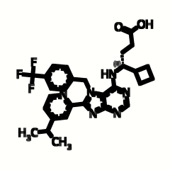 CC(C)c1ccnc(-c2nc3ncnc(N[C@H](CCC(=O)O)C4CCC4)c3n2Cc2ccc(C(F)(F)F)cc2)c1